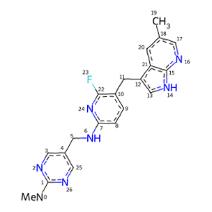 CNc1ncc(CNc2ccc(Cc3c[nH]c4ncc(C)cc34)c(F)n2)cn1